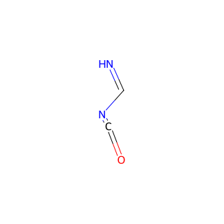 N=CN=C=O